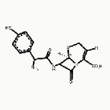 NC(C(=O)NC1C(=O)N2C(C(=O)O)=C(Cl)CS[C@H]12)c1ccc(O)cc1